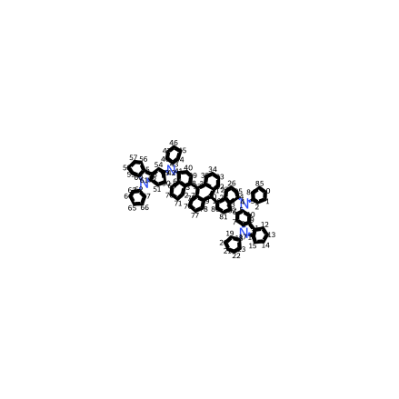 c1ccc(N(c2ccc3c(c2)c2ccccc2n3-c2ccccc2)c2cccc3c(-c4c5ccccc5c(-c5ccc(N(c6ccccc6)c6ccc7c(c6)c6ccccc6n7-c6ccccc6)c6ccccc56)c5ccccc45)cccc23)cc1